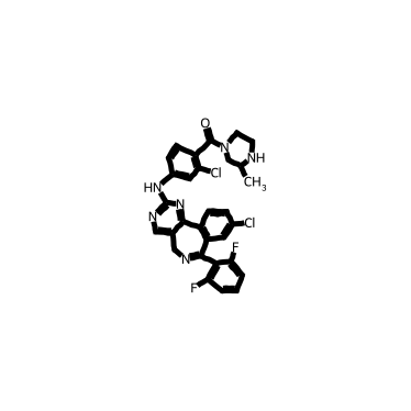 CC1CN(C(=O)c2ccc(Nc3ncc4c(n3)-c3ccc(Cl)cc3C(c3c(F)cccc3F)=NC4)cc2Cl)CCN1